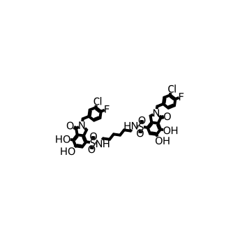 O=C1c2c(O)c(O)cc(S(=O)(=O)NCCCCCCNS(=O)(=O)c3cc(O)c(O)c4c3CN(Cc3ccc(F)c(Cl)c3)C4=O)c2CN1Cc1ccc(F)c(Cl)c1